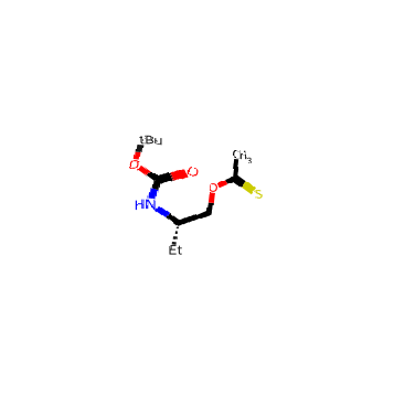 CC[C@@H](COC(C)=S)NC(=O)OC(C)(C)C